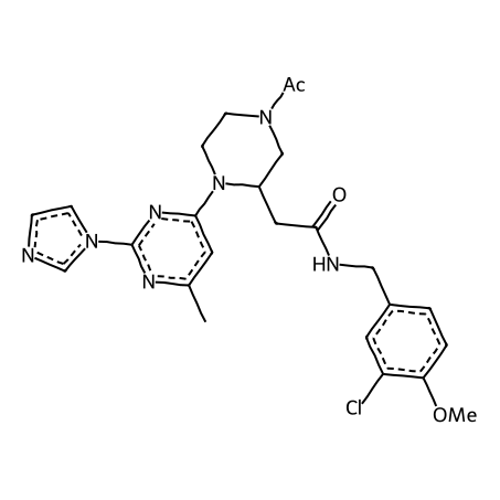 COc1ccc(CNC(=O)CC2CN(C(C)=O)CCN2c2cc(C)nc(-n3ccnc3)n2)cc1Cl